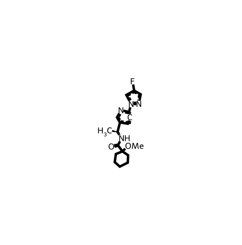 COC1(C(=O)N[C@@H](C)c2ccc(-n3cc(F)cn3)nc2)CCCCC1